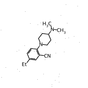 CCc1ccc(N2CCC(N(C)C)CC2)c(C#N)c1